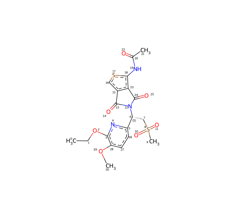 CCOc1nc([C@@H](CS(C)(=O)=O)N2C(=O)c3csc(NC(C)=O)c3C2=O)ccc1OC